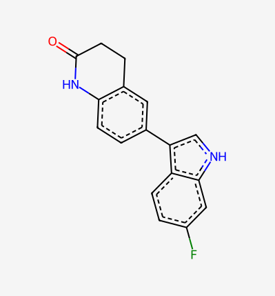 O=C1CCc2cc(-c3c[nH]c4cc(F)ccc34)ccc2N1